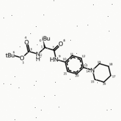 CC[C@H](C)C(NC(=O)OC(C)(C)C)C(=O)Nc1ccc(N2CCCCC2)cc1